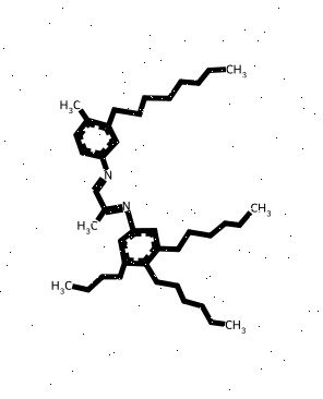 CCCCCCCCc1cc(N=CC(C)=Nc2cc(CCCC)c(CCCCCC)c(CCCCCC)c2)ccc1C